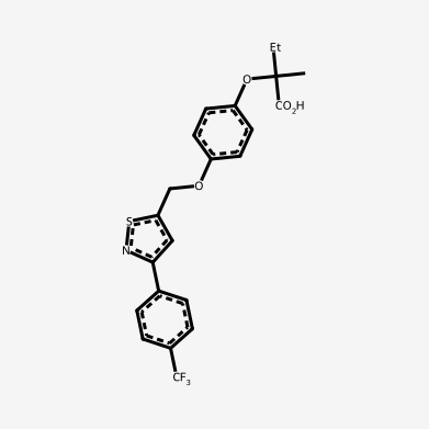 CCC(C)(Oc1ccc(OCc2cc(-c3ccc(C(F)(F)F)cc3)ns2)cc1)C(=O)O